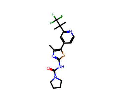 Cc1nc(NC(=O)N2CCCC2)sc1-c1ccnc(C(C)(C)C(F)(F)F)c1